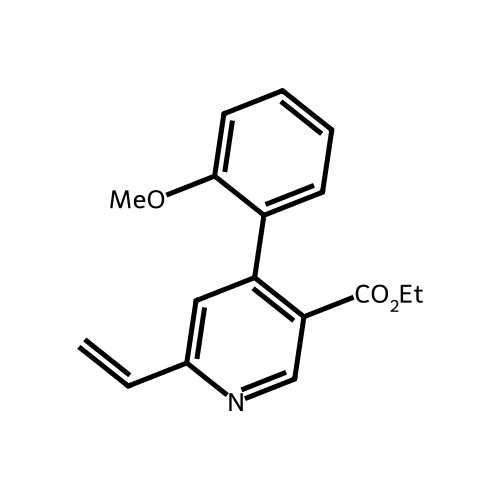 C=Cc1cc(-c2ccccc2OC)c(C(=O)OCC)cn1